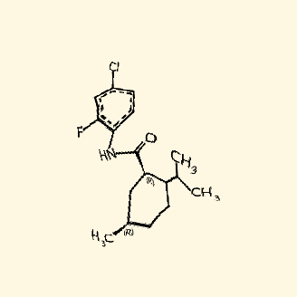 CC(C)C1CC[C@@H](C)C[C@H]1C(=O)Nc1ccc(Cl)cc1F